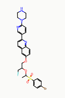 CC(OC(CF)COc1ccc2nc(-c3ccc(N4CCNCC4)nc3)ccc2c1)S(=O)(=O)c1ccc(Br)cc1